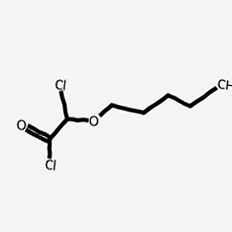 CCCCCOC(Cl)C(=O)Cl